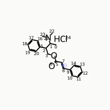 CC(C(COC(=O)/C=C/c1ccccc1)c1ccccc1)N(C)C.Cl